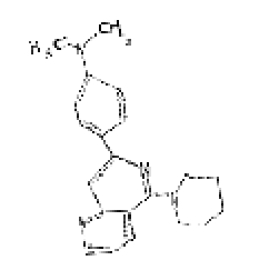 CN(C)c1ccc(-c2cc3ncccc3c(N3CCCCC3)n2)cc1